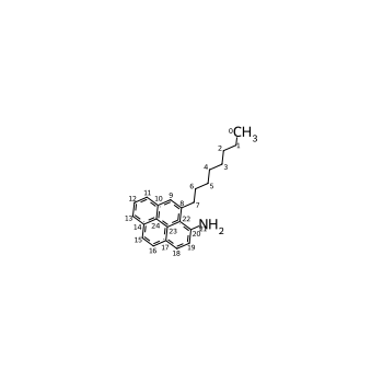 CCCCCCCCc1cc2cccc3ccc4ccc(N)c1c4c32